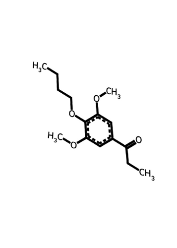 CCCCOc1c(OC)cc(C(=O)CC)cc1OC